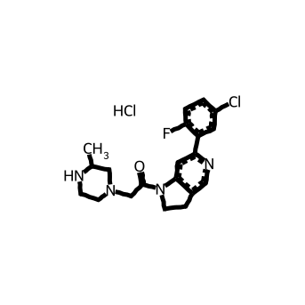 CC1CN(CC(=O)N2CCc3cnc(-c4cc(Cl)ccc4F)cc32)CCN1.Cl